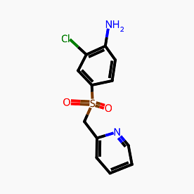 Nc1ccc(S(=O)(=O)Cc2ccccn2)cc1Cl